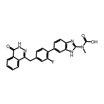 CN(C(=O)O)c1nc2ccc(-c3ccc(Cc4n[nH]c(=O)c5ccccc45)cc3F)cc2[nH]1